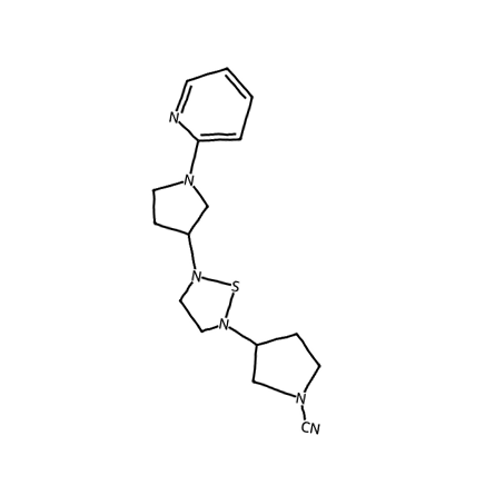 N#CN1CCC(N2CCN(C3CCN(c4ccccn4)C3)S2)C1